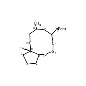 CCCCCC1CSSC2CCC[C@@H]2CCC(C)C1